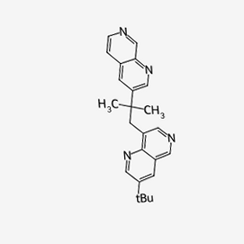 CC(C)(C)c1cnc2c(CC(C)(C)c3cnc4cnccc4c3)cncc2c1